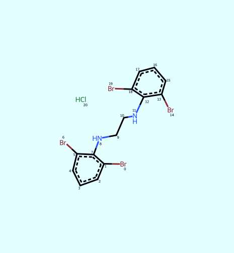 Brc1cccc(Br)c1NCCNc1c(Br)cccc1Br.Cl